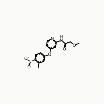 COCC(=O)Nc1cc(Oc2ccc([N+](=O)[O-])c(C)c2)ccn1